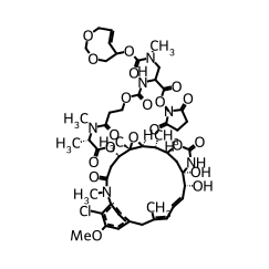 COc1cc2cc(c1Cl)N(C)C(=O)C[C@H](OC(=O)[C@H](C)N(C)C(=O)CCOC(=O)NC(CN(C)C(=O)OC1/C=C/COCOC1)C(=O)ON1C(=O)CCC1=O)[C@]1(C)O[C@H]1[C@H](C)[C@@H]1C[C@@](O)(NC(=O)O1)[C@H](O)/C=C/C=C(\C)C2